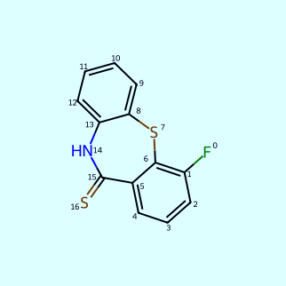 Fc1cccc2c1Sc1ccccc1NC2=S